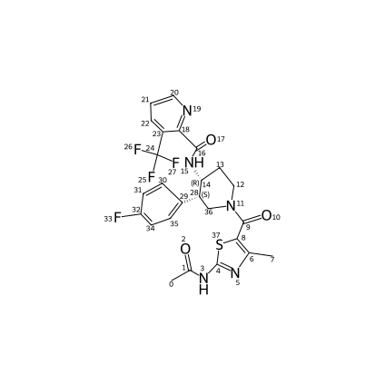 CC(=O)Nc1nc(C)c(C(=O)N2CC[C@@H](NC(=O)c3ncccc3C(F)(F)F)[C@@H](c3ccc(F)cc3)C2)s1